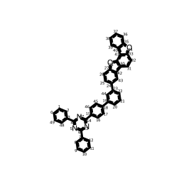 c1ccc(-c2nc(-c3ccccc3)nc(-c3ccc(-c4cccc(-c5ccc6oc7c(ccc8oc9ccccc9c87)c6c5)c4)cc3)n2)cc1